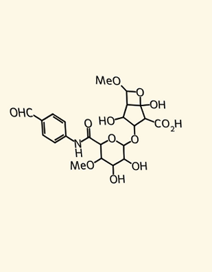 COC1OC2(O)C(C(=O)O)C(OC3OC(C(=O)Nc4ccc(C=O)cc4)C(OC)C(O)C3O)C(O)C12